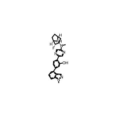 CN(c1cnc(-c2ccc(-c3cccc4c3cnn4C)cc2O)cn1)[C@H]1C[C@@H]2CC[C@@H](N2)[C@H]1F